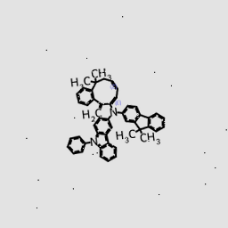 C=C1/C(N(c2ccc3c(c2)C(C)(C)c2ccccc2-3)c2ccc3c(c2)c2ccccc2n3-c2ccccc2)=C\C=C/CC(C)(C)c2ccccc21